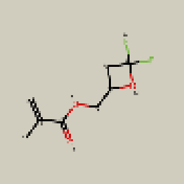 C=C(C)C(=O)OCC1CC(F)(F)O1